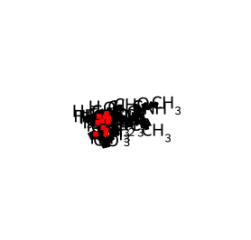 CCCNC(=O)CN(C)C(=O)C(Cc1ccc(C)cc1)N(CC)C(=O)C1CCN1C(=O)[C@H](C)N(C)C(=O)[C@H](NC(=O)[C@H](CC(C)C)N(C)C(=O)CC(C(=O)N(C)C)N(C)C(=O)C(C1CCCC1)N(C)C(=O)C1(NC(=O)C2CCCN2C(=O)C(N)CCc2cc(F)c(C(F)(F)F)c(F)c2)CCCC1)C(C)CC